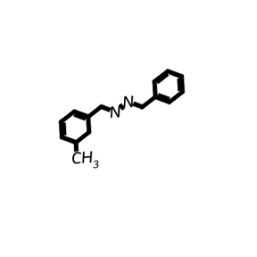 CC1C=CC=C(CN=NCc2ccccc2)C1